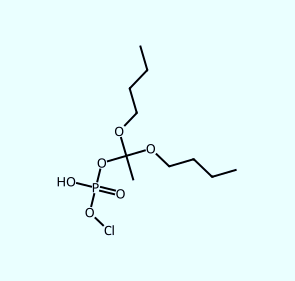 CCCCOC(C)(OCCCC)OP(=O)(O)OCl